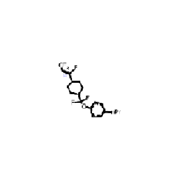 CCCc1ccc(OC(F)(F)C2CCC(/C(F)=C/C(F)(F)F)CC2)cc1